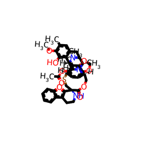 COc1c(C)cc2c(c1O)[C@H]1[C@@H]3[C@@H]4SC[C@]5(NCCc6c5oc5ccccc65)C(=O)OC[C@@H](c5c6c(c(C)c(OC(C)=O)c54)OCO6)N3[C@@H](C)C(C2)N1C